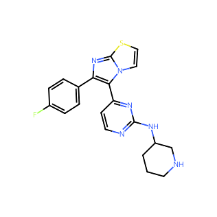 Fc1ccc(-c2nc3sccn3c2-c2ccnc(NC3CCCNC3)n2)cc1